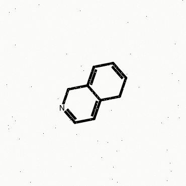 C1=CCC2=CC=NCC2=C1